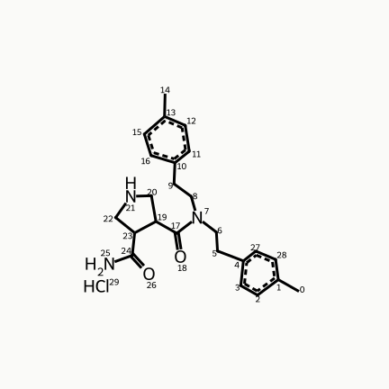 Cc1ccc(CCN(CCc2ccc(C)cc2)C(=O)C2CNCC2C(N)=O)cc1.Cl